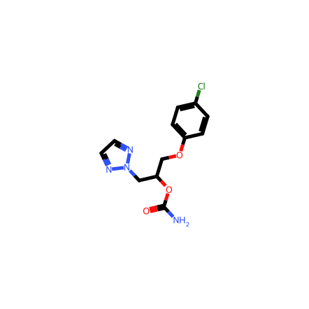 NC(=O)OC(COc1ccc(Cl)cc1)Cn1nccn1